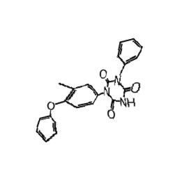 Cc1cc(-n2c(=O)[nH]c(=O)n(-c3ccccc3)c2=O)ccc1Oc1ccccc1